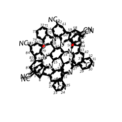 N#Cc1ccc2c(c1)c1cc(C#N)ccc1n2-c1c(-c2cc(-c3ccccc3)nc(-c3ccccc3)n2)c(-n2c3ccc(C#N)cc3c3cc(C#N)ccc32)c(-n2c3ccc(C#N)cc3c3cc(C#N)ccc32)c(-c2nc3ccccc3o2)c1-n1c2ccc(C#N)cc2c2cc(C#N)ccc21